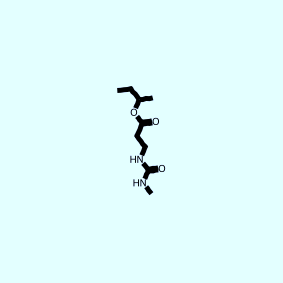 CCC(C)OC(=O)CCNC(=O)NC